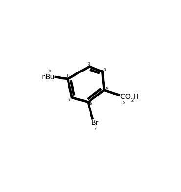 CCCCc1ccc(C(=O)O)c(Br)c1